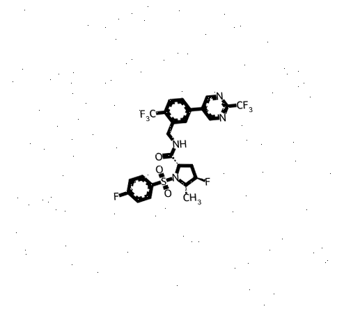 C[C@H]1[C@H](F)C[C@@H](C(=O)NCc2cc(-c3cnc(C(F)(F)F)nc3)ccc2C(F)(F)F)N1S(=O)(=O)c1ccc(F)cc1